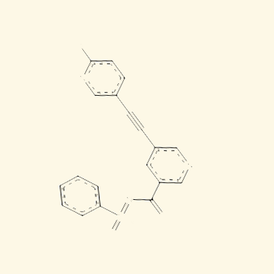 C[S@@](=O)(=NC(=O)c1cncc(C#Cc2ccc(O)nc2)c1)c1ccccc1